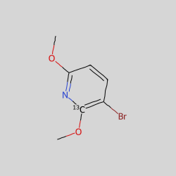 COc1ccc(Br)[13c](OC)n1